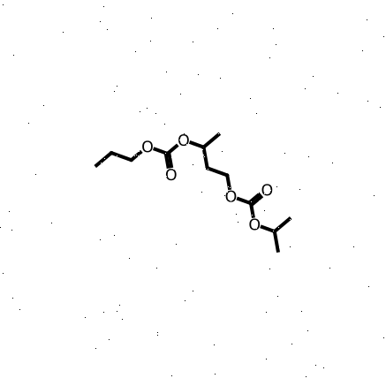 CCCOC(=O)OC(C)CCOC(=O)OC(C)C